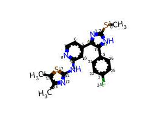 CSc1nc(-c2ccnc(Nc3nc(C)c(C)s3)c2)c(-c2ccc(F)cc2)[nH]1